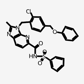 Cc1nc2ccc(C(=O)NS(=O)(=O)c3ccccc3)nc2n1Cc1ccc(COc2ccccc2)cc1Cl